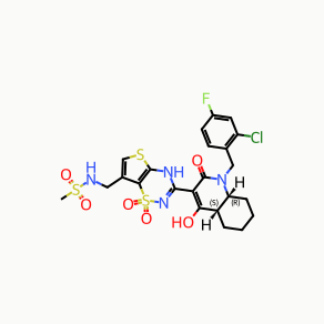 CS(=O)(=O)NCc1csc2c1S(=O)(=O)N=C(C1=C(O)[C@H]3CCCC[C@H]3N(Cc3ccc(F)cc3Cl)C1=O)N2